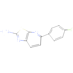 Nc1nc2ccc(-c3ccc(F)cc3)nc2s1